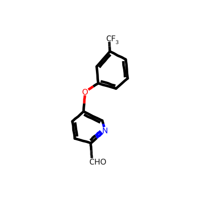 O=Cc1ccc(Oc2cccc(C(F)(F)F)c2)cn1